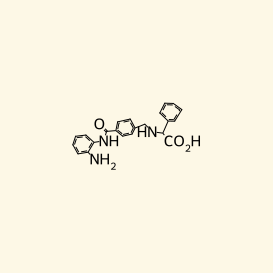 Nc1ccccc1NC(=O)c1ccc(CNC(C(=O)O)c2ccccc2)cc1